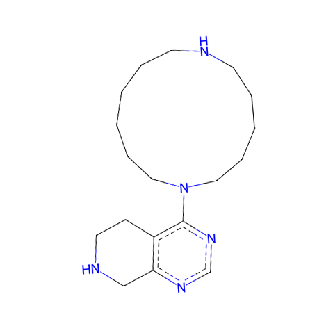 c1nc2c(c(N3CCCCCCNCCCCC3)n1)CCNC2